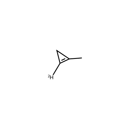 [2H]C1=C(C)C1